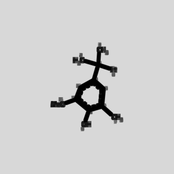 CCC(C)(C)c1cc(C)c(O)c(OC)c1